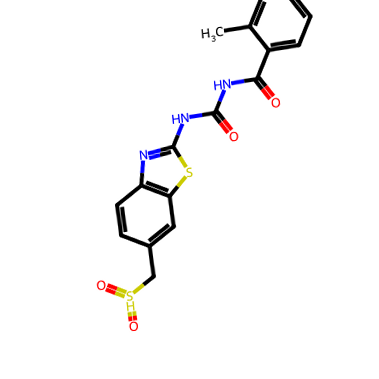 Cc1ccccc1C(=O)NC(=O)Nc1nc2ccc(C[SH](=O)=O)cc2s1